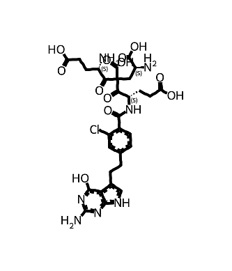 Nc1nc(O)c2c(CCc3ccc(C(=O)N[C@@H](CCC(=O)O)C(=O)C(C[C@H](N)C(=O)O)(C(=O)O)C(=O)[C@@H](N)CCC(=O)O)c(Cl)c3)c[nH]c2n1